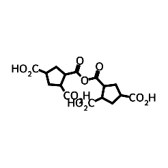 O=C(O)C1CC(C(=O)O)C(C(=O)OC(=O)C2CC(C(=O)O)CC2C(=O)O)C1